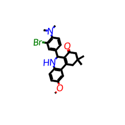 COc1ccc2c(c1)C1=C(C(=O)CC(C)(C)C1)C(c1ccc(N(C)C)c(Br)c1)N2